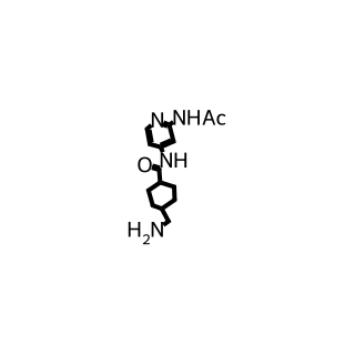 CC(=O)Nc1cc(NC(=O)C2CCC(CN)CC2)ccn1